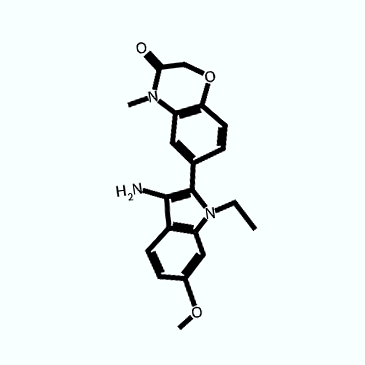 CCn1c(-c2ccc3c(c2)N(C)C(=O)CO3)c(N)c2ccc(OC)cc21